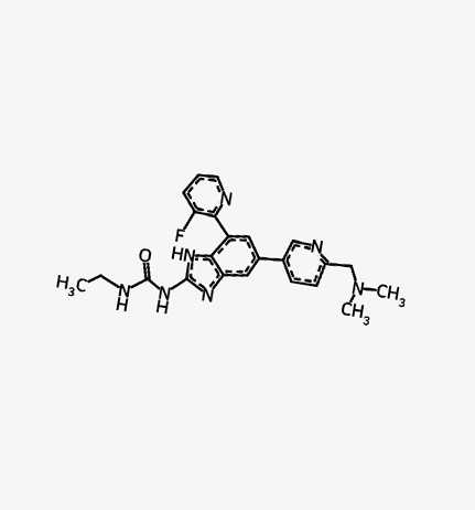 CCNC(=O)Nc1nc2cc(-c3ccc(CN(C)C)nc3)cc(-c3ncccc3F)c2[nH]1